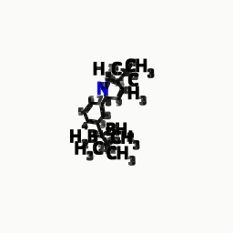 BC(B)(c1cccc(-c2ccc(C(C)(C)C)cn2)c1)C(C)(C)C